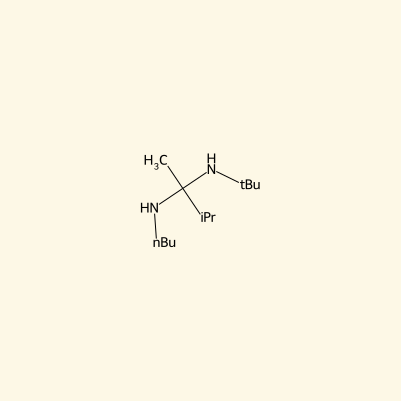 CCCCNC(C)(NC(C)(C)C)C(C)C